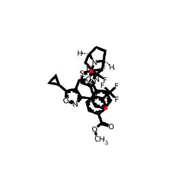 COC(=O)c1ccc(-c2csc(N3[C@@H]4CC[C@H]3CC(OCc3c(-c5ccccc5OC(F)(F)F)noc3C3CC3)C4)n2)c(C(F)(F)F)c1